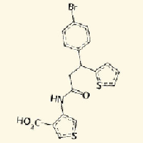 O=C(CC(c1ccc(Br)cc1)c1cccs1)Nc1cscc1C(=O)O